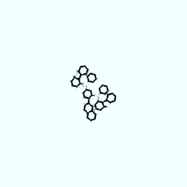 c1ccc(N(c2cc(N(c3ccccc3)c3cccc4sc5ccccc5c34)c3c(c2)oc2cc4ccccc4cc23)c2cccc3oc4ccccc4c23)cc1